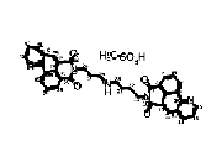 CS(=O)(=O)O.O=C1c2cccc3c2c(cc2cccnc23)C(=O)N1CCCCNCCCN1C(=O)c2cccc3c2c(cc2cccnc23)C1=O